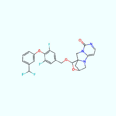 O=c1nccc2n1CC13CC(CN21)OC3OCc1cc(F)c(Oc2cccc(C(F)F)c2)c(F)c1